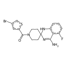 NC1=NC2(CCN(C(=O)c3cc(Br)cs3)CC2)Nc2cccc(F)c21